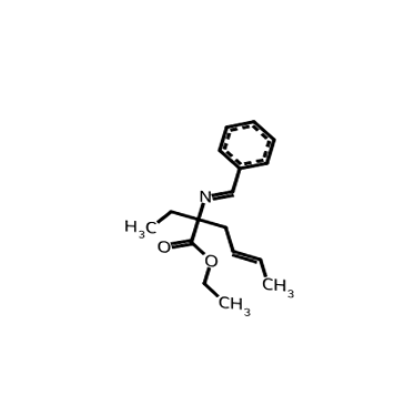 CC=CCC(CC)(N=Cc1ccccc1)C(=O)OCC